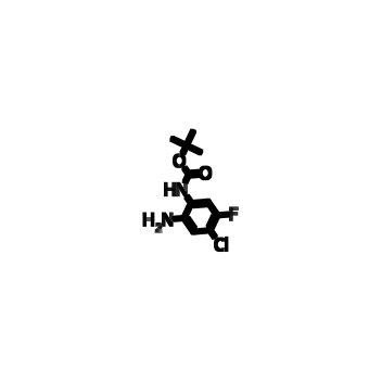 CC(C)(C)OC(=O)Nc1cc(F)c(Cl)cc1N